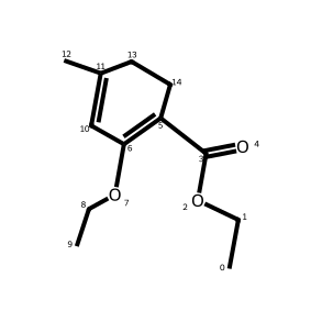 CCOC(=O)C1=C(OCC)C=C(C)CC1